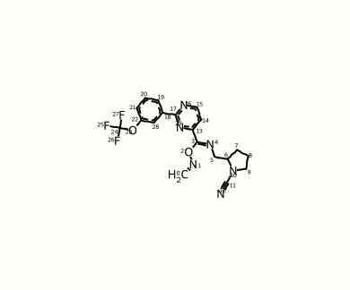 C=NO/C(=N\CC1CCCN1C#N)c1ccnc(-c2cccc(OC(F)(F)F)c2)n1